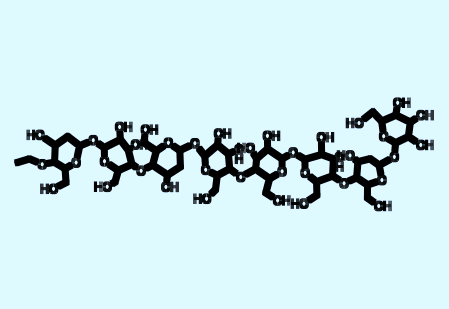 CCOC1C(O)CC(OC2OC(CO)C(OC3C(O)CC(OC4OC(CO)C(OC5C(CO)OC(OC6OC(CO)C(OC7C(O)CC(OC8OC(CO)C(O)C(O)C8O)OC7CO)C(O)C6O)C(O)C5O)C(O)C4O)OC3CO)C(O)C2O)OC1CO